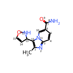 Cc1nc2ccc(C(N)=O)cn2c1C1C=CON1